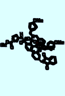 COc1ccc(CN(Cc2ccc(OC)cc2)S(=O)(=O)c2c(S(=O)(=O)N[C@@H]3CCN(C(=O)OC(C)(C)C)C3)ccc(N3CC[C@@H](CN4C(=O)c5ccccc5C4=O)CC3=O)c2-c2nnn(Cc3ccc(OC)cc3)n2)cc1